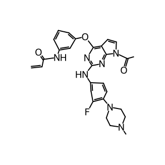 C=CC(=O)Nc1cccc(Oc2nc(Nc3ccc(N4CCN(C)CC4)c(F)c3)nc3c2ccn3C(C)=O)c1